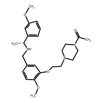 COc1cccc([C@@H](C)NCc2ccc(OC)c(OCCN3CCN(C(C)=O)CC3)c2)c1